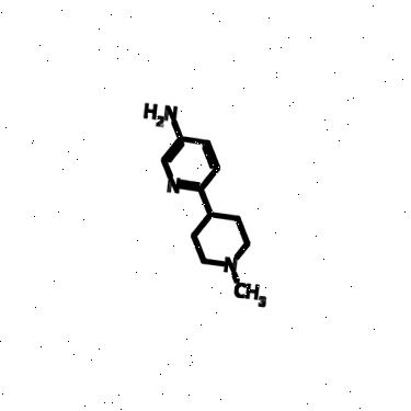 CN1CCC(c2ccc(N)cn2)CC1